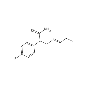 CCC=CCC(C(N)=O)c1ccc(F)cc1